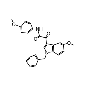 COc1ccc(NC(=O)C(=O)c2cn(Cc3ccccc3)c3ccc(OC)cc23)cc1